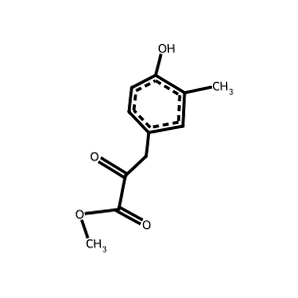 COC(=O)C(=O)Cc1ccc(O)c(C)c1